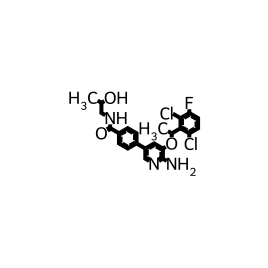 CC(O)CNC(=O)c1ccc(-c2cnc(N)c(OC(C)c3c(Cl)ccc(F)c3Cl)c2)cc1